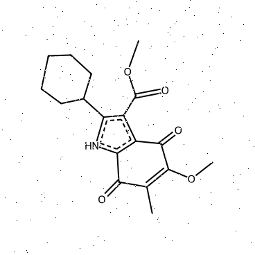 COC(=O)c1c(C2CCCCC2)[nH]c2c1C(=O)C(OC)=C(C)C2=O